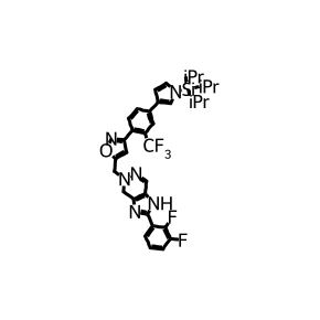 CC(C)[Si](C(C)C)(C(C)C)n1ccc(-c2ccc(-c3cc(CN4Cc5nc(-c6cccc(F)c6F)[nH]c5C=N4)on3)c(C(F)(F)F)c2)c1